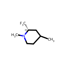 CC1CCN(C)[C@H](C(F)(F)F)C1